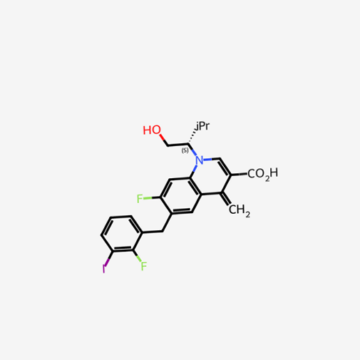 C=C1C(C(=O)O)=CN([C@H](CO)C(C)C)c2cc(F)c(Cc3cccc(I)c3F)cc21